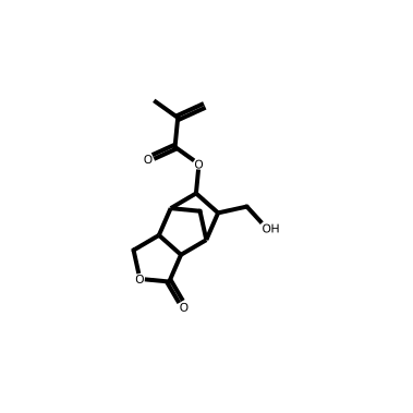 C=C(C)C(=O)OC1C2CC(C1CO)C1C(=O)OCC21